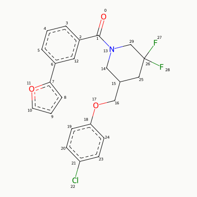 O=C(c1cccc(-c2ccco2)c1)N1CC(COc2ccc(Cl)cc2)CC(F)(F)C1